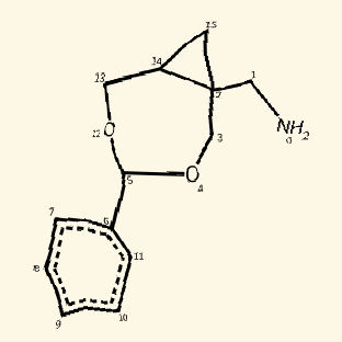 NCC12COC(c3ccccc3)OCC1C2